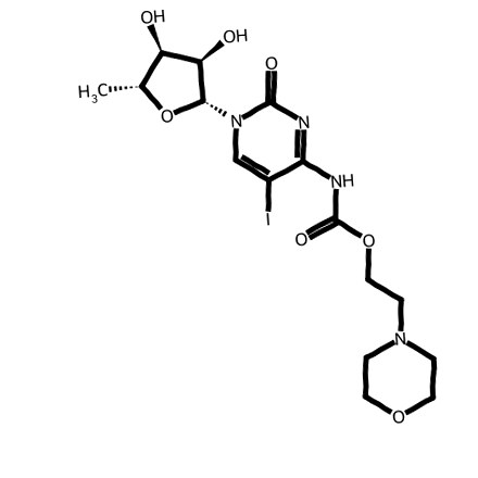 C[C@H]1O[C@@H](n2cc(I)c(NC(=O)OCCN3CCOCC3)nc2=O)[C@H](O)[C@@H]1O